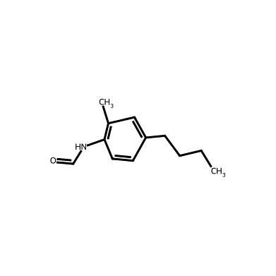 CCCCc1ccc(NC=O)c(C)c1